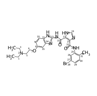 CCN(CC)CCOc1ccc2[nH]c(NC(=O)c3[nH]cnc3C(=O)Nc3cc(Br)ccc3C)nc2c1